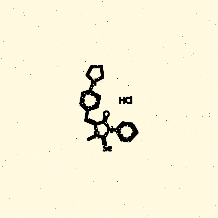 CN1C(=[Se])N(c2ccccc2)C(=O)C1=Cc1ccc(N2CCCC2)cc1.Cl